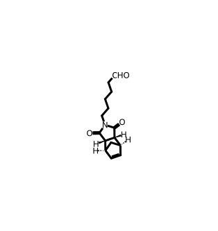 O=CCCCCCN1C(=O)[C@@H]2[C@H](C1=O)[C@H]1C=C[C@@H]2C1